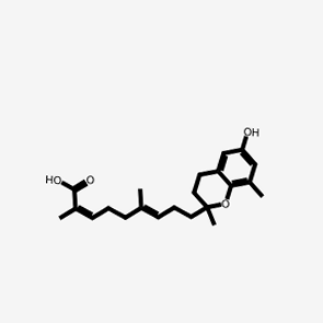 C/C(=C/CC/C(C)=C/CCC1(C)CCc2cc(O)cc(C)c2O1)C(=O)O